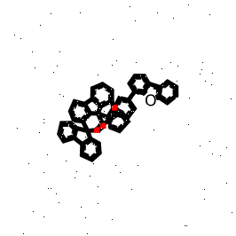 c1ccc2c(c1)-c1ccccc1C21c2cccc(-c3ccc(-c4cccc5c4oc4ccccc45)cc3)c2C23c4ccccc4-c4cccc(c42)-c2cccc1c23